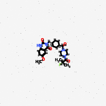 COc1ccc2[nH]c(=O)n(C[C@H]3CC[C@H](C(=O)N4CCN(C(=O)C(C)(C)F)CC4)CC3)c(=O)c2c1